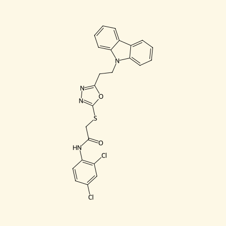 O=C(CSc1nnc(CCn2c3ccccc3c3ccccc32)o1)Nc1ccc(Cl)cc1Cl